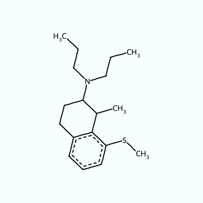 CCCN(CCC)C1CCc2cccc(SC)c2C1C